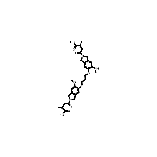 CNc1cc2c(cc1OCCCOc1cc3c(cc1OC)CN(C(=O)C[C@H](C)C(=O)O)C3)CN(C(=O)C[C@H](C)C(=O)O)C2